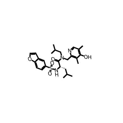 Cc1cnc(CN(CC(C)C)C(=O)[C@H](CC(C)C)NS(=O)(=O)c2ccc3occc3c2)c(C)c1O